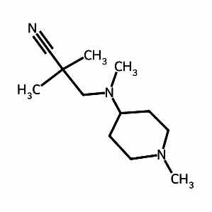 CN1CCC(N(C)CC(C)(C)C#N)CC1